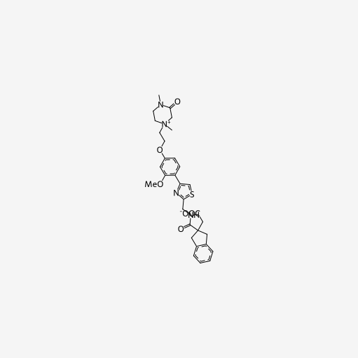 COc1cc(OCC[N+]2(C)CCN(C)C(=O)C2)ccc1-c1csc(CNC(=O)C2(CC(=O)[O-])Cc3ccccc3C2)n1